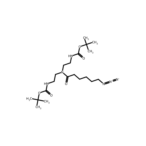 CC(C)(C)OC(=O)NCCN(CCNC(=O)OC(C)(C)C)C(=O)CCCCCN=[N+]=[N-]